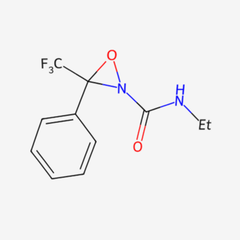 CCNC(=O)N1OC1(c1ccccc1)C(F)(F)F